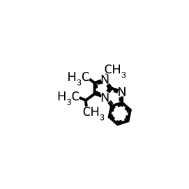 Cc1c(C(C)C)n2c3ccccc3nc2n1C